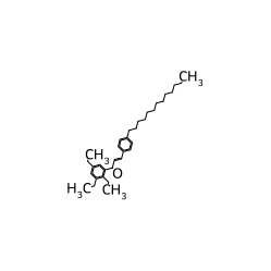 CCCCCCCCCCCCCc1ccc(C=CC(=O)c2cc(CC)cc(CC)c2CC)cc1